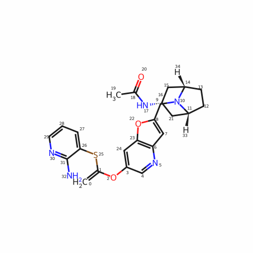 C=C(Oc1cnc2cc(CN3[C@@H]4CC[C@H]3C[C@@H](NC(C)=O)C4)oc2c1)Sc1cccnc1N